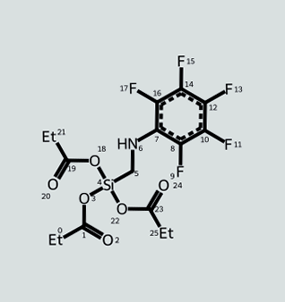 CCC(=O)O[Si](CNc1c(F)c(F)c(F)c(F)c1F)(OC(=O)CC)OC(=O)CC